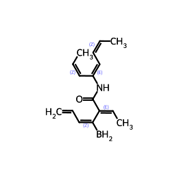 BC(=C/C=C)/C(=C\C)C(=O)NC(/C=C\C)=C/C=C\C